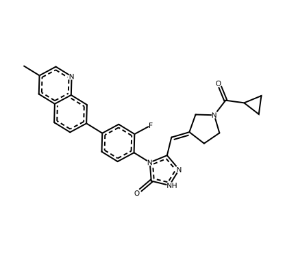 Cc1cnc2cc(-c3ccc(-n4c(/C=C5\CCN(C(=O)C6CC6)C5)n[nH]c4=O)c(F)c3)ccc2c1